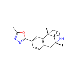 Cc1nnc(-c2ccc3c(c2)[C@]2(C)CCN[C@H](C3)[C@H]2C)o1